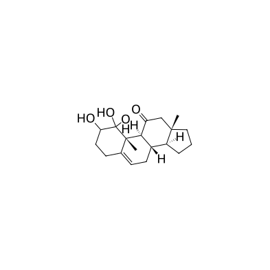 C[C@@]12CCC[C@H]1[C@@H]1CC=C3CCC(O)C(O)(O)[C@]3(C)[C@H]1C(=O)C2